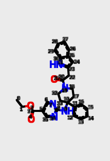 CCOC(=O)c1cnc(NC2(c3ccccc3)CCN(C(=O)Cc3cc4ccccc4[nH]3)CC2)nc1